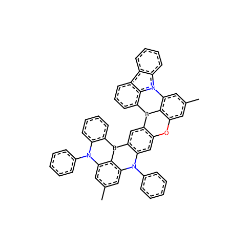 Cc1cc2c3c(c1)N(c1ccccc1)c1cc4c(cc1B3c1ccccc1N2c1ccccc1)B1c2c(cc(C)cc2-n2c3ccccc3c3cccc1c32)O4